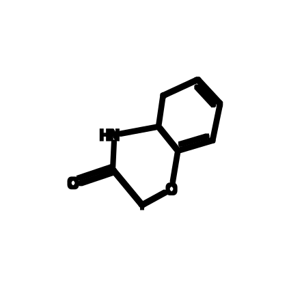 O=C1[CH]OC2=CC=CCC2N1